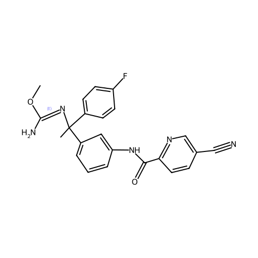 CO/C(N)=N/C(C)(c1ccc(F)cc1)c1cccc(NC(=O)c2ccc(C#N)cn2)c1